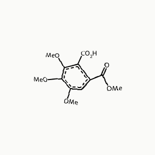 COC(=O)c1cc(OC)c(OC)c(OC)c1C(=O)O